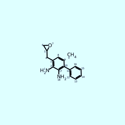 C.Nc1c(CC2CO2)ccc(-c2ccccc2)c1N